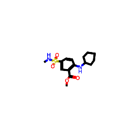 CNS(=O)(=O)c1ccc(NC2CCCCC2)c(C(=O)OC)c1